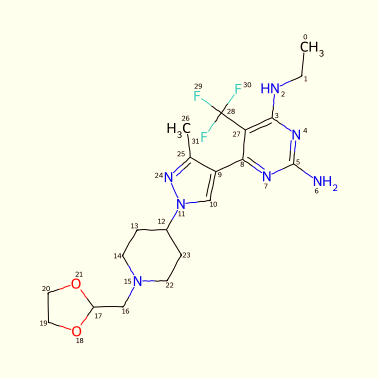 CCNc1nc(N)nc(-c2cn(C3CCN(CC4OCCO4)CC3)nc2C)c1C(F)(F)F